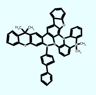 CC1(C)c2ccccc2Sc2cc3c(cc21)-c1cc2c(oc4ccccc42)c2c1B(c1cccc4c1N2c1ccccc1[Si]4(C)C)N3c1ccc(-c2ccccc2)cc1